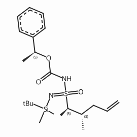 C=CC[C@H](C)[C@@H](C)S(=O)(=N[Si](C)(C)C(C)(C)C)NC(=O)O[C@@H](C)c1ccccc1